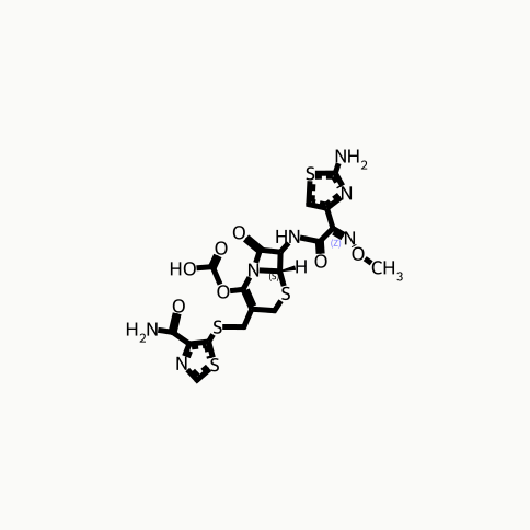 CO/N=C(\C(=O)NC1C(=O)N2C(OC(=O)O)=C(CSc3scnc3C(N)=O)CS[C@@H]12)c1csc(N)n1